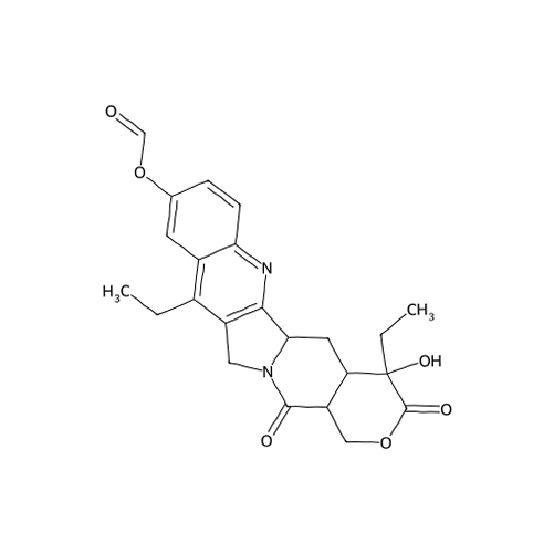 CCc1c2c(nc3ccc(OC=O)cc13)C1CC3C(COC(=O)C3(O)CC)C(=O)N1C2